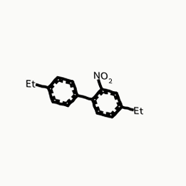 CCc1ccc(-c2ccc(CC)cc2[N+](=O)[O-])cc1